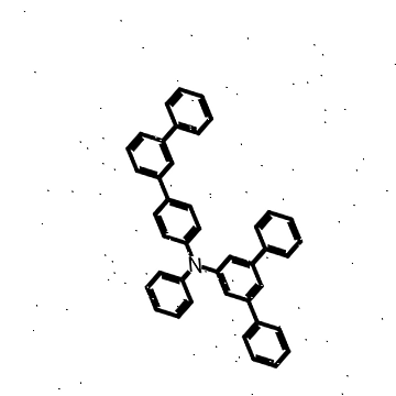 c1ccc(-c2cccc(-c3ccc(N(c4ccccc4)c4cc(-c5ccccc5)cc(-c5ccccc5)c4)cc3)c2)cc1